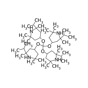 CC(C)C1(C)CC(OC(OC2CC(C)(C)NC(C)(C(C)C)C2)(OC2CC(C)(C)NC(C)(C(C)C)C2)OC2CC(C)(C)NC(C)(C(C)C)C2)CC(C)(C)N1